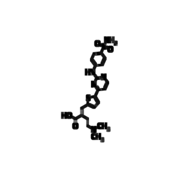 CN(C)CC/C(=C\c1ccc(-c2ccnc(Nc3ccc(S(N)(=O)=O)cc3)n2)s1)C(=O)O